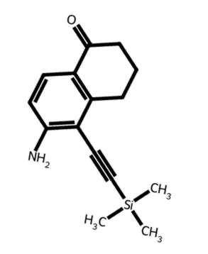 C[Si](C)(C)C#Cc1c(N)ccc2c1CCCC2=O